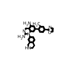 Cc1cc(-c2ncco2)ccc1-c1cc(N)c2c(c1)N(c1ccc3c(c1)CNCC3)C(N)N=C2